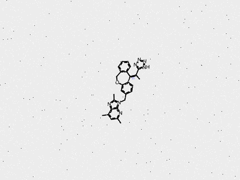 C/C(=C1/c2ccccc2COc2cc(Cn3c(C)nc4c(C)cc(C)nc43)ccc21)c1nnn[nH]1